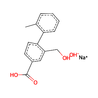 Cc1ccccc1-c1ccc(C(=O)O)cc1CO.[Na+].[OH-]